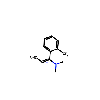 CN(C)/C(=C/C=O)c1ccccc1C(F)(F)F